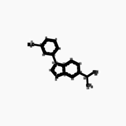 Cc1cccc(-n2cnc3cc(C(C)O)ccc32)c1